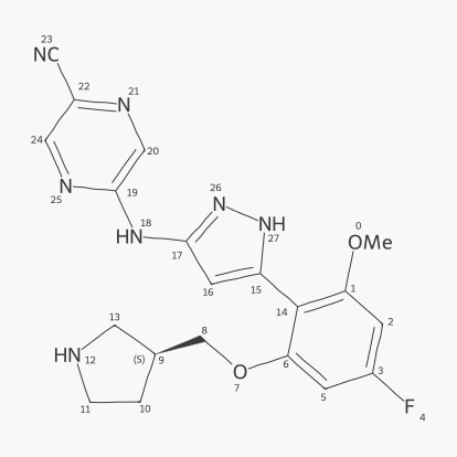 COc1cc(F)cc(OC[C@H]2CCNC2)c1-c1cc(Nc2cnc(C#N)cn2)n[nH]1